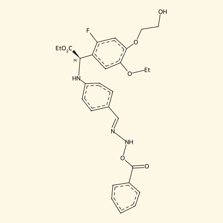 CCOC(=O)[C@H](Nc1ccc(C=NNOC(=O)c2ccccc2)cc1)c1cc(OCC)c(OCCO)cc1F